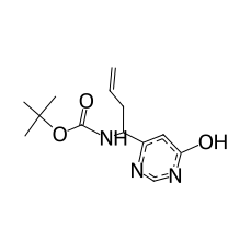 C=CCC(NC(=O)OC(C)(C)C)c1cc(O)ncn1